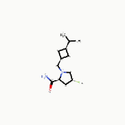 CC(C)[C@H]1C[C@@H](CN2C[C@H](F)C[C@H]2C(N)=O)C1